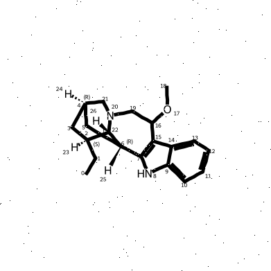 CC[C@H]1C[C@@H]2C[C@H]3c4[nH]c5ccccc5c4C(OC)CN(C2)[C@@H]13